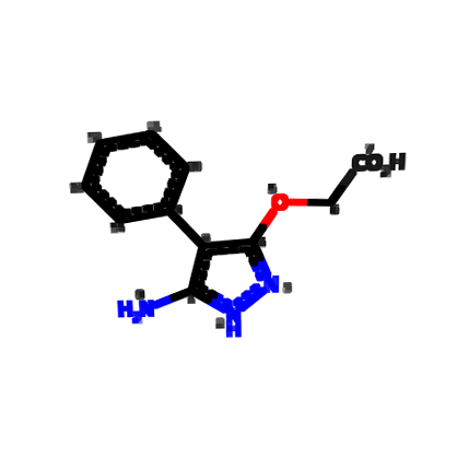 Nc1[nH]nc(OCC(=O)O)c1-c1ccccc1